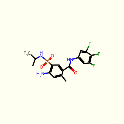 Cc1cc(N)c(S(=O)(=O)NC(C)C(F)(F)F)cc1C(=O)Nc1cc(F)c(F)c(F)c1